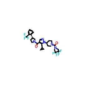 O=C(c1cnn(C2CCN(C(=O)N3CC(F)(F)C(F)(F)C3)CC2)c1C1CC1)N1CC[C@@H](c2ccccc2C(F)(F)F)C1